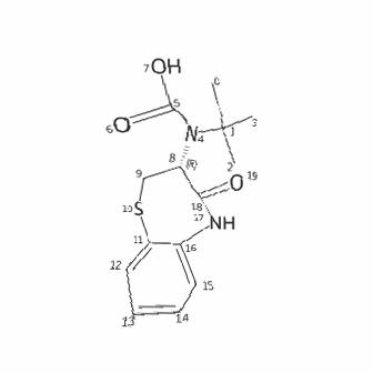 CC(C)(C)N(C(=O)O)[C@H]1CSc2ccccc2NC1=O